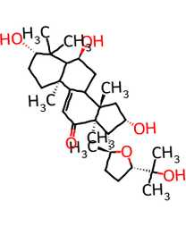 CC(C)(O)[C@@H]1CC[C@](C)([C@H]2[C@@H](O)C[C@@]3(C)C4C[C@H](O)C5C(C)(C)[C@@H](O)CC[C@]5(C)C4=CC(=O)[C@]23C)O1